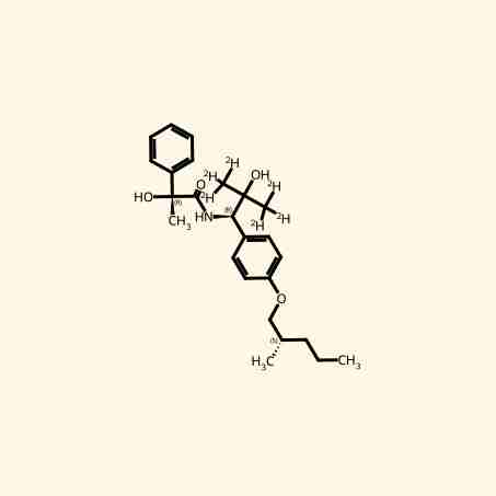 [2H]C([2H])([2H])C(O)([C@H](NC(=O)[C@](C)(O)c1ccccc1)c1ccc(OC[C@@H](C)CCC)cc1)C([2H])([2H])[2H]